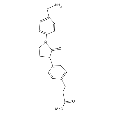 COC(=O)CCc1ccc(C2CCN(c3ccc(CN)cc3)C2=O)cc1